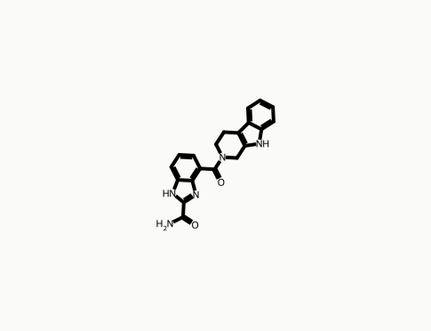 NC(=O)c1nc2c(C(=O)N3CCc4c([nH]c5ccccc45)C3)cccc2[nH]1